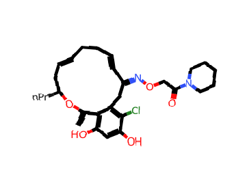 C=C1OC(CCC)C/C=C/CC/C=C/C(=N/OCC(=O)N2CCCCC2)Cc2c(Cl)c(O)cc(O)c21